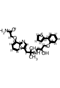 CC(C)(Cc1cnc2c(OCC(N)=O)cccn12)NC[C@H](O)COc1ccccc1-c1cccs1